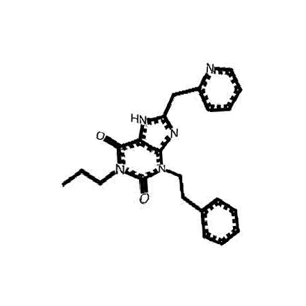 CCCn1c(=O)c2[nH]c(Cc3ccccn3)nc2n(CCc2ccccc2)c1=O